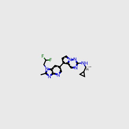 Cc1nc2ncc(-c3ccn4nc(N[C@H](C)C5CC5)ncc34)cc2n1CC(F)F